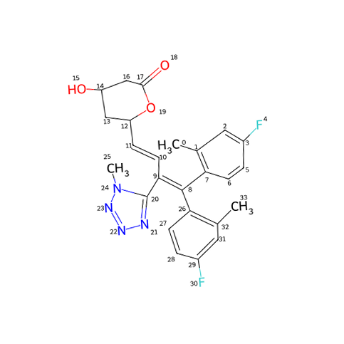 Cc1cc(F)ccc1C(=C(C=CC1CC(O)CC(=O)O1)c1nnnn1C)c1ccc(F)cc1C